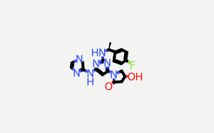 C[C@H](Nc1nc(Nc2cnccn2)cc(N2CC(O)CC2=O)n1)c1ccc(F)cc1